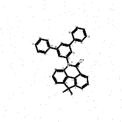 CC1(C)c2cccc3c(=O)n(-c4cc(-c5ccccc5)cc(-c5ccccc5)c4)c4cccc1c4c23